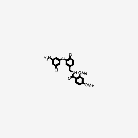 COc1ccc(C(=O)NCc2ccc(Cl)c(Oc3cc(N)cc(Cl)c3)c2)c(OC)c1